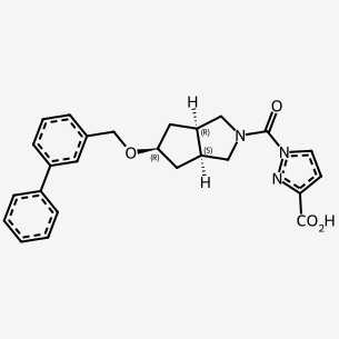 O=C(O)c1ccn(C(=O)N2C[C@H]3C[C@@H](OCc4cccc(-c5ccccc5)c4)C[C@H]3C2)n1